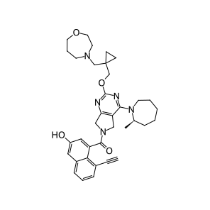 C#Cc1cccc2cc(O)cc(C(=O)N3Cc4nc(OCC5(CN6CCCOCC6)CC5)nc(N5CCCCC[C@H]5C)c4C3)c12